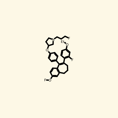 CCOc1ccc(C2=C(c3ccc(OC4CCN(CCCF)C4)cc3)c3ccc(OF)cc3CCC2)c(F)c1